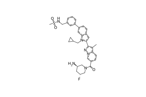 Cc1c(-c2cc3ccc(-c4cccc(CNS(C)(=O)=O)c4)cc3n2CC2CC2)nn2cc(C(=O)N3C[C@H](N)C[C@@H](F)C3)ccc12